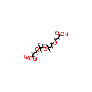 CC(C)(CCOCCC(=O)O)OCC(C)(C)OCCC(=O)O